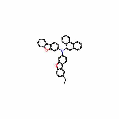 CCc1ccc2oc3cc(N(c4ccc5c(c4)oc4ccccc45)c4cc5ccccc5c5ccccc45)ccc3c2c1